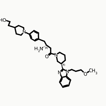 COCCCn1c([C@@H]2CCCN(C(=O)C[C@H](N)Cc3ccc(N4CCC(CCO)CC4)cc3)C2)nc2ccccc21